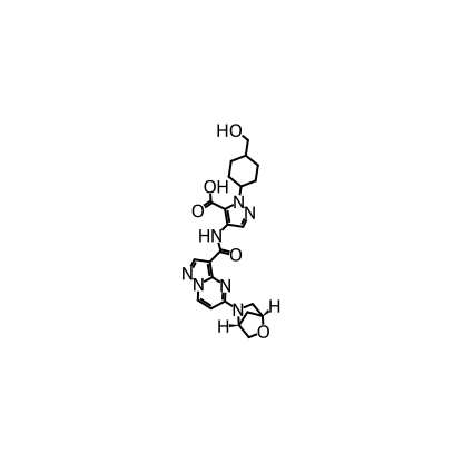 O=C(Nc1cnn(C2CCC(CO)CC2)c1C(=O)O)c1cnn2ccc(N3C[C@H]4C[C@@H]3CO4)nc12